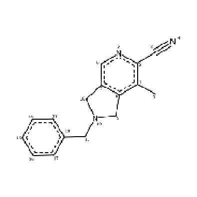 Cc1c(C#N)ncc2c1CN(Cc1ccccc1)C2